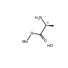 C[C@H](N)C(=O)OC(C)(C)C.Cl